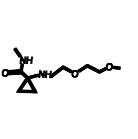 CNC(=O)C1(NCCOCCOC)CC1